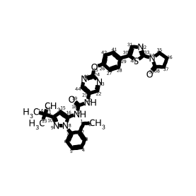 CCc1ccccc1-n1nc(C(C)(C)C)cc1NC(=O)Nc1cnc(Oc2ccc(-c3cnc(N4CCCC4=O)s3)cc2)nc1